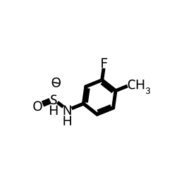 Cc1ccc(N[SH](=O)=O)cc1F